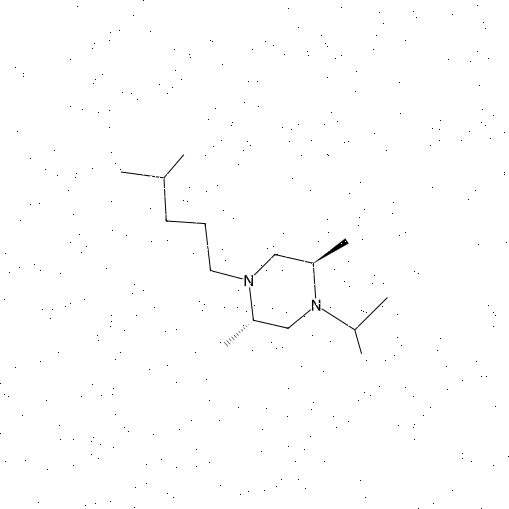 CC(C)CCCN1C[C@@H](C)N(C(C)C)C[C@@H]1C